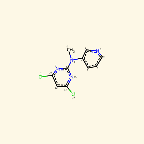 CN(c1cccnc1)c1nc(Cl)cc(Cl)n1